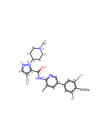 COc1c(F)cc(-c2cnc(NC(=O)c3c(Cl)cnn3C3CCN(C(C)=O)CC3)c(C)c2)cc1F